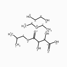 CC(C)COC(=O)C(O)C(O)C(=O)O.CCOCC.OCCO